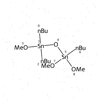 CCC[CH2][Sn]([CH2]CCC)([O]C)[O][Sn]([CH2]CCC)([O]C)[O]C